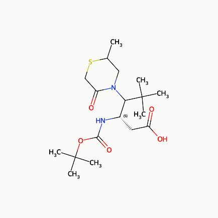 CC1CN(C([C@H](CC(=O)O)NC(=O)OC(C)(C)C)C(C)(C)C)C(=O)CS1